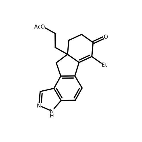 CCC1=C2c3ccc4[nH]ncc4c3CC2(CCOC(C)=O)CCC1=O